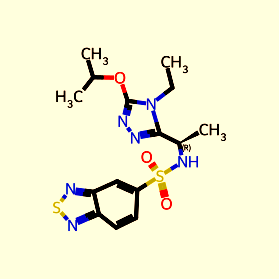 CCn1c(OC(C)C)nnc1[C@@H](C)NS(=O)(=O)c1ccc2nsnc2c1